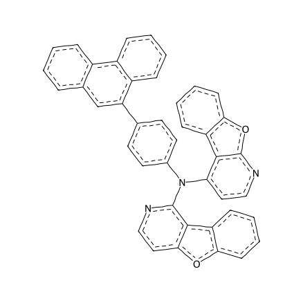 c1ccc2c(c1)cc(-c1ccc(N(c3nccc4oc5ccccc5c34)c3ccnc4oc5ccccc5c34)cc1)c1ccccc12